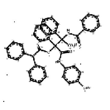 COc1ccc(NC(=O)C(OC(=O)C(c2ccccc2)c2ccccc2)(c2ccccc2)C(NC(=O)c2ccccc2)(C(=O)O)c2ccccc2)cc1